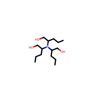 CCCC(CO)N(C(CO)CCC)C(CO)CCC